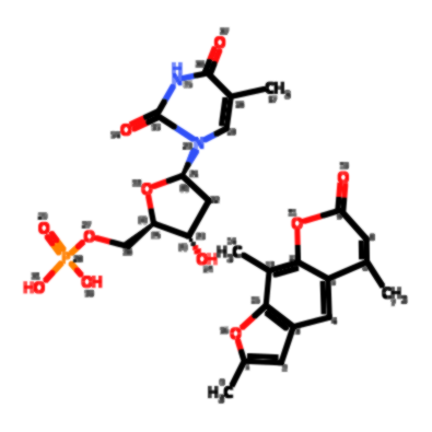 Cc1cc2cc3c(C)cc(=O)oc3c(C)c2o1.Cc1cn([C@H]2C[C@H](O)[C@@H](COP(=O)(O)O)O2)c(=O)[nH]c1=O